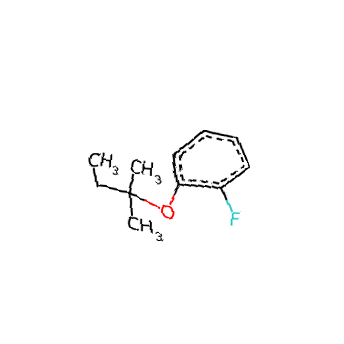 CCC(C)(C)Oc1ccccc1F